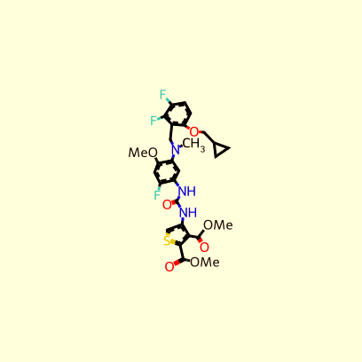 COC(=O)c1scc(NC(=O)Nc2cc(N(C)Cc3c(OCC4CC4)ccc(F)c3F)c(OC)cc2F)c1C(=O)OC